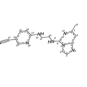 Cc1cc2nccn2c(NCCNc2ccc(C#N)cn2)n1